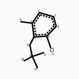 Cc1cccc(Cl)c1CC(C)(C)C